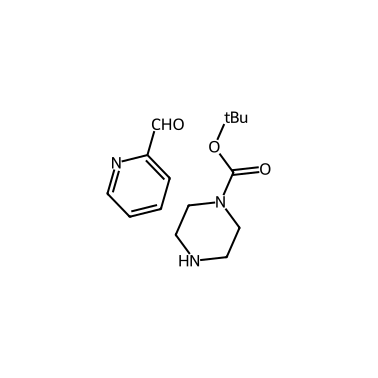 CC(C)(C)OC(=O)N1CCNCC1.O=Cc1ccccn1